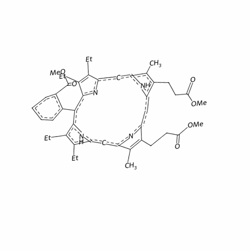 CCC1=C(CC)c2nc1cc1[nH]c(cc3nc(cc4[nH]c(c(CC)c4CC)c2-c2ccccc2C(=O)OC)C(C)=C3CCC(=O)OC)c(CCC(=O)OC)c1C